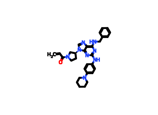 C=CC(=O)N1CC[C@@H](n2cnc3c(NCc4ccccc4)nc(Nc4ccc(N5CCCCC5)cc4)nc32)C1